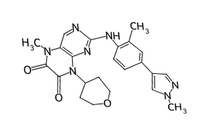 Cc1cc(-c2cnn(C)c2)ccc1Nc1ncc2c(n1)n(C1CCOCC1)c(=O)c(=O)n2C